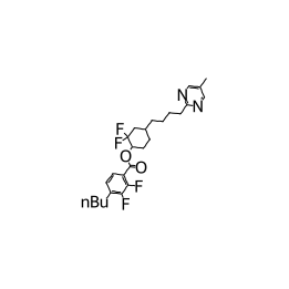 CCCCc1ccc(C(=O)OC2CCC(CCCCc3ncc(C)cn3)CC2(F)F)c(F)c1F